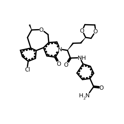 C[C@@H]1Cc2ccc(Cl)cc2-c2cc(=O)n([C@@H](CC[C@@H]3COCCO3)C(=O)Nc3ccc(C(N)=O)cc3)cc2CO1